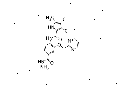 Cc1[nH]c(C(=O)Nc2ccc(C(=O)NN)cc2OCc2ncccn2)c(Cl)c1Cl